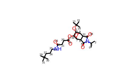 CC(C)N1C(=O)C2C3OC(C(OC(C)(C)C)C3OC(=O)CCC(=O)NCCCC(C)(C)C)C2C1=O